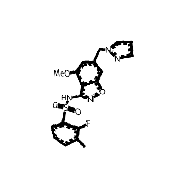 COc1cc(Cn2cccn2)cc2onc(NS(=O)(=O)c3cccc(C)c3F)c12